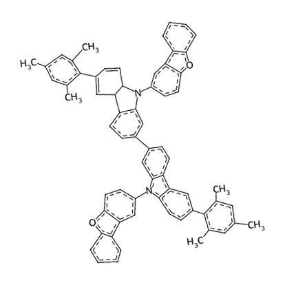 Cc1cc(C)c(C2=CC3c4ccc(-c5ccc6c7cc(-c8c(C)cc(C)cc8C)ccc7n(-c7ccc8oc9ccccc9c8c7)c6c5)cc4N(c4ccc5oc6ccccc6c5c4)C3C=C2)c(C)c1